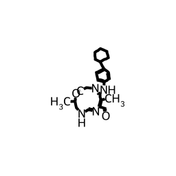 CC1=C(C=O)/N=C/NCC(C)OCC/N=C\1Nc1ccc(C2CCCCC2)cc1